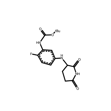 CC(C)(C)OC(=O)Nc1cc(NC2CCC(=O)NC2=O)ccc1F